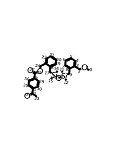 COCc1ccccc1C[Si](C)(C)O[Si](C)(C)Cc1ccccc1COC(=O)c1ccc(C(C)=O)cc1